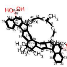 C=C1CCCCC2(CCCCCC)c3cc4c(cc3-c3c2cc(B(O)O)c2ccccc32)C(C)(C)C(C)(C)c2cc3c(cc2-4)C(CCCCCC)(CCCC1)c1cc(B(O)O)c2ccccc2c1-3